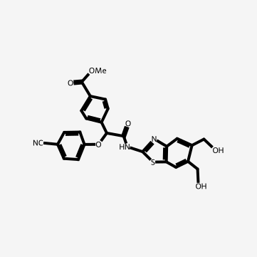 COC(=O)c1ccc(C(Oc2ccc(C#N)cc2)C(=O)Nc2nc3cc(CO)c(CO)cc3s2)cc1